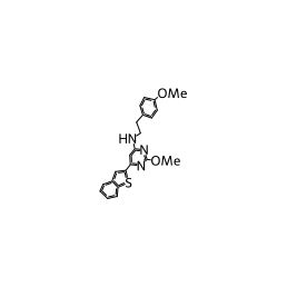 COc1ccc(CCNc2cc(-c3cc4ccccc4s3)nc(OC)n2)cc1